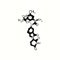 Cc1cc(N(C)C(=O)Oc2ccc3c(c2)C(=O)N(C2CCC(=O)NC2=O)C3)cc(C(C)(C)C)n1